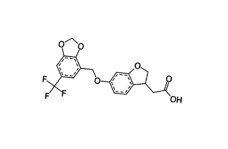 O=C(O)CC1COc2cc(OCc3cc(C(F)(F)F)cc4c3OCO4)ccc21